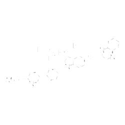 CCC(CC)(Cc1c(SC(C)(C)C)c2cc(OCc3cnc4ccccc4n3)ccc2n1Cc1ccc(-c2ccc(OC)nc2)cc1)C(=O)O